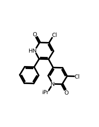 CC(C)n1cc(-c2cc(Cl)c(=O)[nH]c2-c2ccccc2)cc(Cl)c1=O